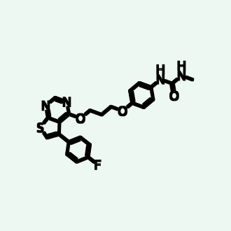 CNC(=O)Nc1ccc(OCCCOc2ncnc3scc(-c4ccc(F)cc4)c23)cc1